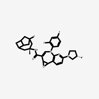 C[C@@]1(NC(=O)C2=CN(c3ccc(F)cc3F)c3nc(N4CC[C@H](F)C4)ccc3C3OC23)CC2CC3CC(F)(CC32)C1